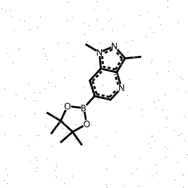 Cc1nn(C)c2cc(B3OC(C)(C)C(C)(C)O3)cnc12